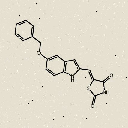 O=C1NC(=O)C(=Cc2cc3cc(OCc4ccccc4)ccc3[nH]2)S1